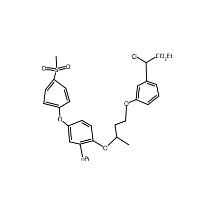 CCCc1cc(Oc2ccc(S(C)(=O)=O)cc2)ccc1OC(C)CCOc1cccc(C(Cl)C(=O)OCC)c1